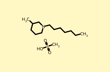 CCCCCCCN1CCCC(C)C1.CS(=O)(=O)O